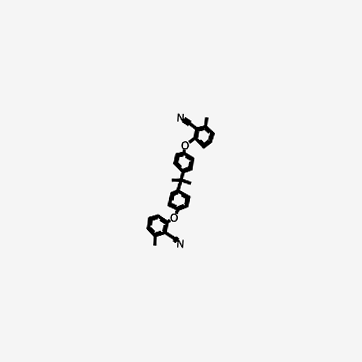 Cc1cccc(Oc2ccc(C(C)(C)c3ccc(Oc4cccc(C)c4C#N)cc3)cc2)c1C#N